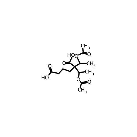 CC(=O)OC(C)C(CCCC(=O)O)(C(=O)O)C(C)OC(C)=O